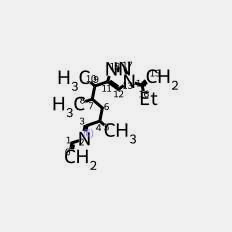 C=C/N=C/C(C)CC(C)C(C)c1cn(C(=C)CC)nn1